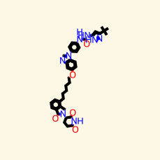 CC(C)(C)c1cc(NC(=O)Nc2ccc(-n3cnc4cc(OCCCCCCc5cccc6c5CN(C5CCC(=O)NC5=O)C6=O)ccc43)cc2)[nH]n1